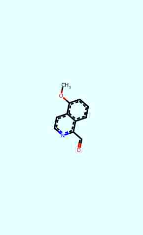 COc1cccc2c(C=O)nccc12